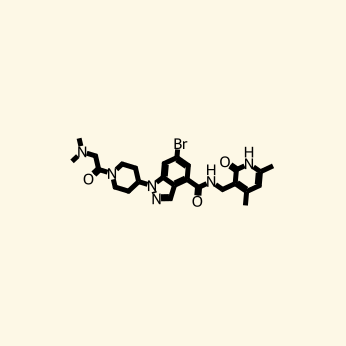 Cc1cc(C)c(CNC(=O)c2cc(Br)cc3c2cnn3C2CCN(C(=O)CN(C)C)CC2)c(=O)[nH]1